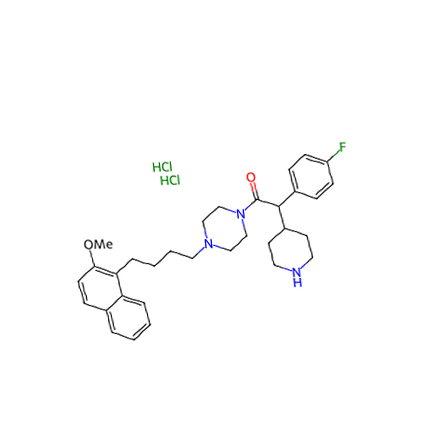 COc1ccc2ccccc2c1CCCCN1CCN(C(=O)C(c2ccc(F)cc2)C2CCNCC2)CC1.Cl.Cl